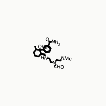 CNCCN(C=O)CCN/C=C1\CCCC(C)C1(OC)c1cccc(C(N)=O)c1